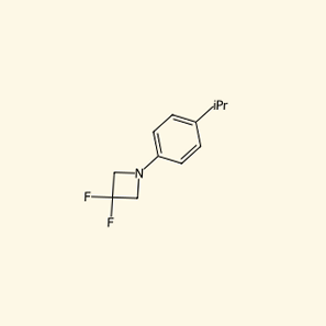 CC(C)c1ccc(N2CC(F)(F)C2)cc1